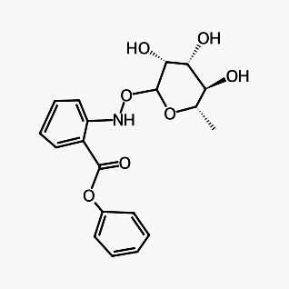 C[C@@H]1OC(ONc2ccccc2C(=O)Oc2ccccc2)[C@H](O)[C@H](O)[C@H]1O